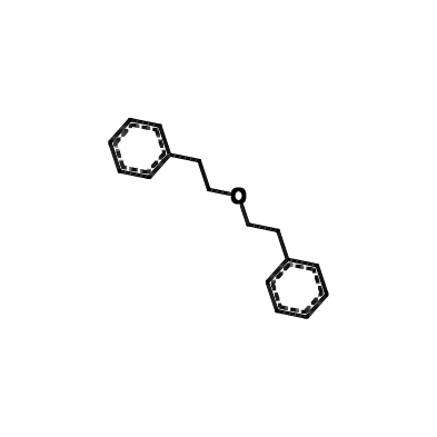 c1ccc(CCOCCc2ccccc2)cc1